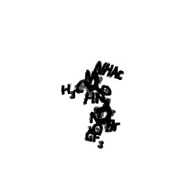 CC(=O)Nc1cc(C(=O)NCc2cnc(OCC(F)(F)F)c(Br)c2)cc(C)n1